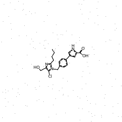 CCCCc1nc(CO)c(Cl)n1Cc1ccc(-c2c[nH]c(C(=O)O)c2)cc1